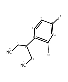 N#CCC(CC#N)c1ccc(I)cc1I